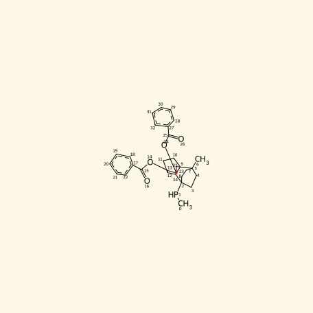 CPC12CCC(C)(CC1)C13CCC(C(OC(=O)c4ccccc4)C(OC(=O)c4ccccc4)C1)C23